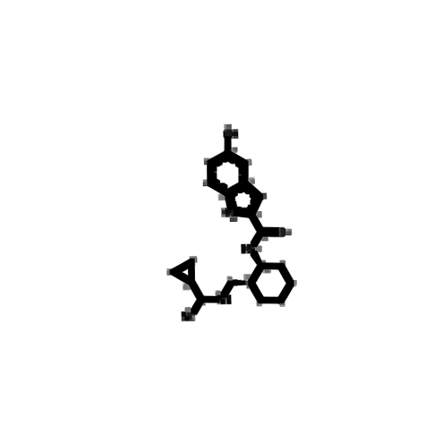 N#CC(NC[C@H]1CCCC[C@@H]1NC(=O)c1cc2cc(O)ccc2[nH]1)C1CC1